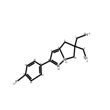 [2H]CC1(C[2H])Cc2cc(-c3ccc(F)cc3)nn2C1